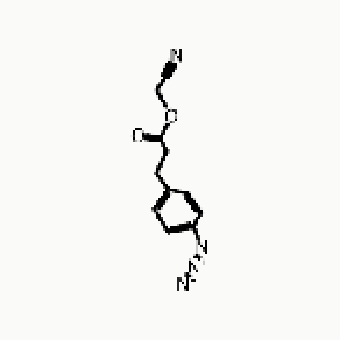 N#CCOC(=O)CCc1ccc(N=[N+]=[N-])cc1